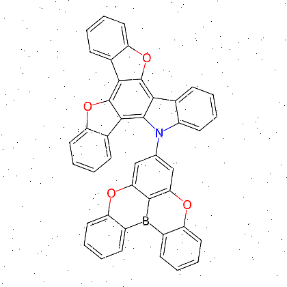 c1ccc2c(c1)Oc1cc(-n3c4ccccc4c4c5oc6ccccc6c5c5oc6ccccc6c5c43)cc3c1B2c1ccccc1O3